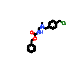 CN(CNC(=O)OCc1ccccc1)Cc1ccc(CCl)cc1